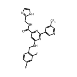 O=C(NCc1ncc[nH]1)c1cc(NCc2ccc(F)cc2F)nc(-c2cncc(C(F)(F)F)c2)n1